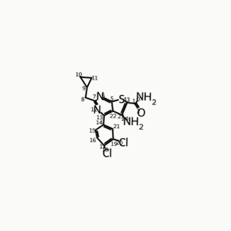 NC(=O)c1sc2nc(CC3CC3)nc(-c3ccc(Cl)c(Cl)c3)c2c1N